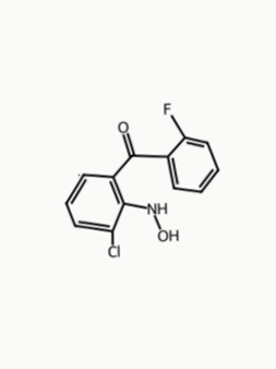 O=C(c1[c]ccc(Cl)c1NO)c1ccccc1F